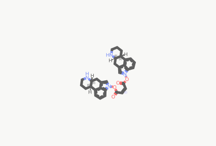 O=C(/C=C\C(=O)On1cc2c3c(cccc31)[C@H]1CCCN[C@@H]1C2)On1cc2c3c(cccc31)[C@H]1CCCN[C@@H]1C2